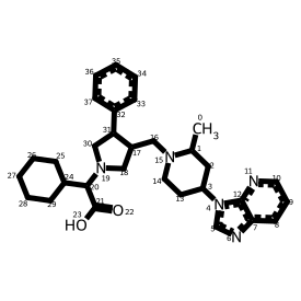 CC1CC(n2cnc3cccnc32)CCN1CC1CN(C(C(=O)O)C2CCCCC2)CC1c1ccccc1